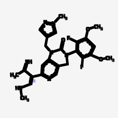 CN/C=C(\C(C)=N)c1cc2c(cn1)CN(c1c(F)c(OC)cc(OC)c1F)C(=O)N2Cc1cnn(C)c1